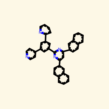 c1ccc(-c2cc(-c3ccncc3)cc(-c3nc(-c4ccc5ccccc5c4)cc(-c4ccc5ccccc5c4)n3)c2)nc1